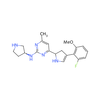 COc1cccc(F)c1C1=CNC(c2cc(C)nc(N[C@H]3CCNC3)n2)C1